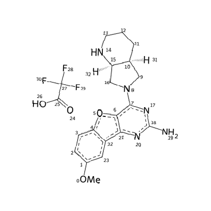 COc1ccc2oc3c(N4C[C@@H]5CCCN[C@@H]5C4)nc(N)nc3c2c1.O=C(O)C(F)(F)F